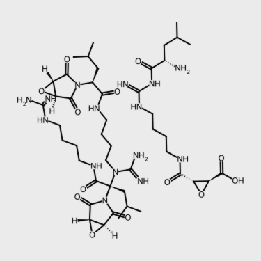 CC(C)C[C@@H](C(=O)NCCCCN(C(=N)N)[C@@](CC(C)C)(C(=O)NCCCCNC(=N)N)N1C(=O)[C@H]2O[C@@H]2C1=O)N1C(=O)[C@H]2O[C@@H]2C1=O.CC(C)C[C@H](N)C(=O)NC(=N)NCCCCNC(=O)[C@H]1O[C@@H]1C(=O)O